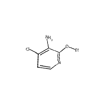 CCOc1nccc(Cl)c1N